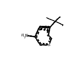 CC(C)(C)c1[c]ncc(N)c1